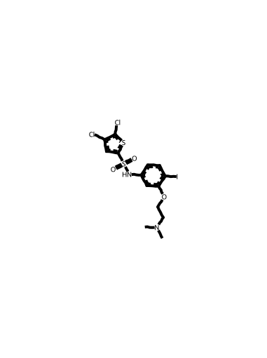 CN(C)CCOc1cc(NS(=O)(=O)c2cc(Cl)c(Cl)s2)ccc1I